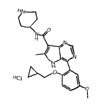 COc1ccc(OCC2CC2)c(-c2ncnc3c(C(=O)NC4CCNCC4)c(C)[nH]c23)c1.Cl